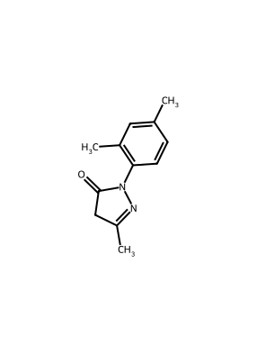 CC1=NN(c2ccc(C)cc2C)C(=O)C1